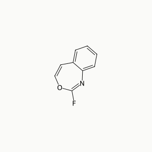 FC1=Nc2ccccc2C=CO1